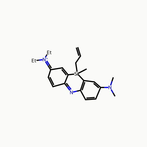 C=CC[Si]1(C)C2=CC(=[N+](CC)CC)C=CC2=Nc2ccc(N(C)C)cc21